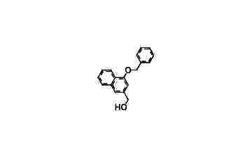 OCc1cc(OCc2ccccc2)c2ccccc2c1